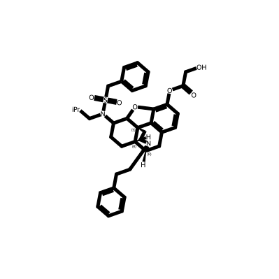 CC(C)CN(C1CC[C@H]2[C@H]3Cc4ccc(OC(=O)CO)c5c4[C@@]2(CCN3CCc2ccccc2)C1O5)S(=O)(=O)Cc1ccccc1